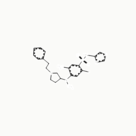 Cc1cc(S(=O)(=O)Nc2cscn2)c(F)cc1N(C)C1CCN(CCc2ccccc2)C1